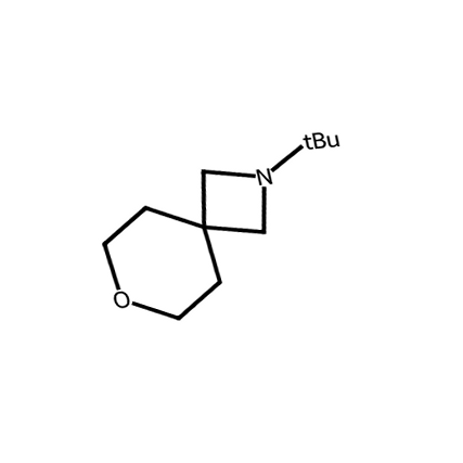 CC(C)(C)N1CC2(CCOCC2)C1